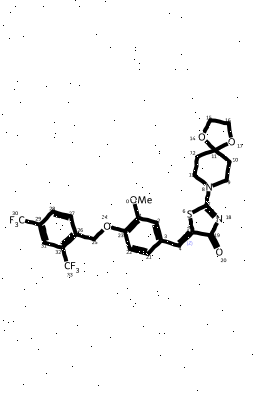 COc1cc(/C=C2\SC(N3CCC4(CC3)OCCO4)=NC2=O)ccc1OCc1ccc(C(F)(F)F)cc1C(F)(F)F